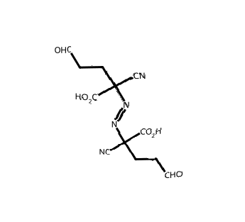 N#CC(CCC=O)(N=NC(C#N)(CCC=O)C(=O)O)C(=O)O